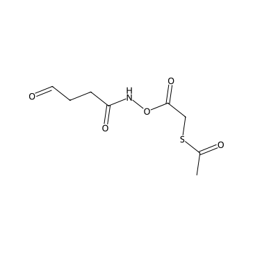 CC(=O)SCC(=O)ONC(=O)CCC=O